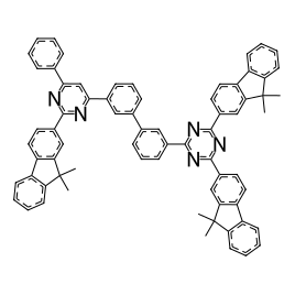 CC1(C)c2ccccc2-c2ccc(-c3nc(-c4ccccc4)cc(-c4cccc(-c5cccc(-c6nc(-c7ccc8c(c7)C(C)(C)c7ccccc7-8)nc(-c7ccc8c(c7)C(C)(C)c7ccccc7-8)n6)c5)c4)n3)cc21